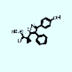 CCCCOC(=O)C1(c2onc(-c3ccc(O)cc3)c2-c2ccccc2)CC1